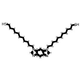 SCCCCCCCCCCCn1cnc2cc3ncn(CCCCCCCCCCCS)c3cc21